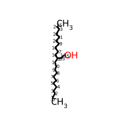 CCCCCCCCCCCCC(CCO)CCCCCCCCCC